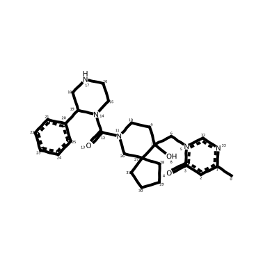 Cc1cc(=O)n(CC2(O)CCN(C(=O)N3CCNCC3c3ccccc3)CC23CCCC3)cn1